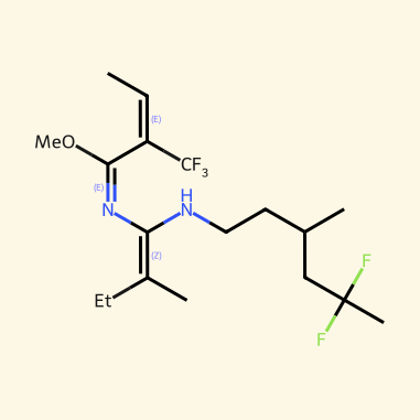 C\C=C(/C(=N\C(NCCC(C)CC(C)(F)F)=C(\C)CC)OC)C(F)(F)F